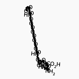 CC(=N)/C(C(=O)N[C@@H](CNC(=O)c1cc(O)cc(OCCCNC(=O)CCOCCOCCOCCOCCOCCOCCOCCOCCNC(=O)CCN2C(=O)C=CC2=O)c1)C(=O)O)=C(/C)N